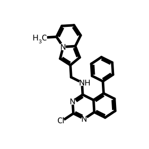 Cc1cccc2cc(CNc3nc(Cl)nc4cccc(-c5ccccc5)c34)cn12